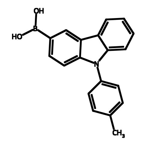 Cc1ccc(-n2c3ccccc3c3cc(B(O)O)ccc32)cc1